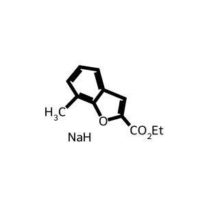 CCOC(=O)c1cc2cccc(C)c2o1.[NaH]